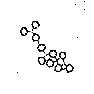 c1ccc(N(c2ccccc2)c2ccc(-c3ccc(N(c4ccccc4)c4cccc(C5(c6ccccc6)c6ccccc6-n6c7ccccc7c7cccc5c76)c4)cc3)cc2)cc1